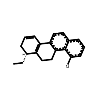 CC[C@@H]1CC=CC2=C1CCc1c2ccc2cccc(Cl)c12